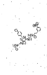 CC(=O)NCCNc1nc(-c2ccc(Cl)cc2)nc(NCCNC(=O)/C=C/c2cccc([N+](=O)[O-])c2)c1C